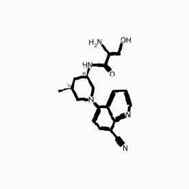 C[C@H]1C[C@@H](NC(=O)C(N)CO)CN(c2ccc(C#N)c3ncccc23)C1